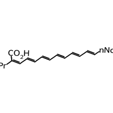 CCCCCCCCCC=CC=CC=CC=CC=CC=C(CCC)C(=O)O